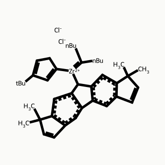 CCCC[C](CCCC)=[Zr+2]([C]1=CC(C(C)(C)C)=CC1)[CH]1c2cc3c(cc2-c2cc4c(cc21)C(C)(C)C=C4)C=CC3(C)C.[Cl-].[Cl-]